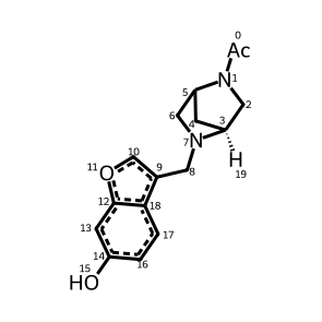 CC(=O)N1C[C@@H]2CC1CN2Cc1coc2cc(O)ccc12